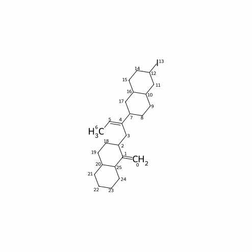 C=C1C(C/C(=C\C)C2CCC3CC(I)CCC3C2)CCC2CCCCC12